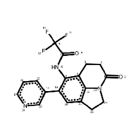 O=C1CCc2c(NC(=O)C(F)(F)F)c(-c3cccnc3)cc3c2N1CC3